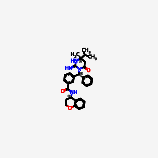 CC(C)[C@]1(C)CC(=O)N([C@H](c2ccccc2)c2cccc(C(=O)N[C@@H]3CCOc4ccccc43)c2)C(=N)N1